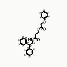 O=C(CCOC(=O)COc1ccccc1)NCC(c1ccccc1)c1ccccc1